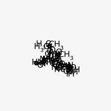 [C-]#[N+]CCOP(=O)(OCC1OC(n2cnc3c(NC(=O)c4ccccc4)ncnc32)CC1OC(=O)COC(=O)c1cc(C)c(C)c(C)c1)OC1CC(n2cc(C)c(=O)[nH]c2=O)OC1COP(=O)(OCC[N+]#[C-])OC1CC(n2cnc3c(=O)[nH]c(NC(=O)C(C)C)nc32)OC1CC